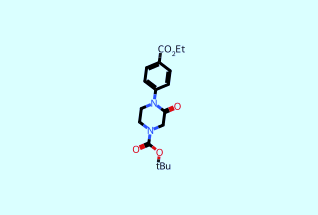 CCOC(=O)c1ccc(N2CCN(C(=O)OC(C)(C)C)CC2=O)cc1